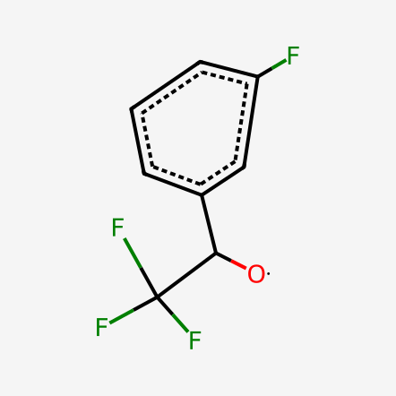 [O]C(c1cccc(F)c1)C(F)(F)F